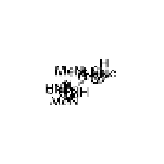 CN[C@@H](C)C(=O)N[C@@H](CCCCCC[C@H](NC(=O)[C@@H](C)NC)C(=O)N1CCC[C@H]1C(=O)NCc1ccccc1)C(=O)N1CCC[C@H]1C(=O)NCc1ccccc1